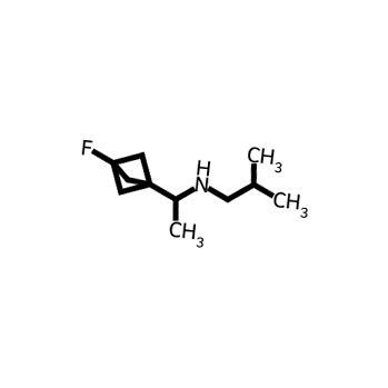 CC(C)CNC(C)C12CC(F)(C1)C2